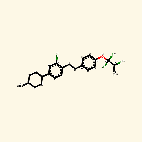 CCCCC1CCC(c2ccc(CCc3ccc(OC(F)(F)C(F)C(F)(F)F)cc3)c(F)c2)CC1